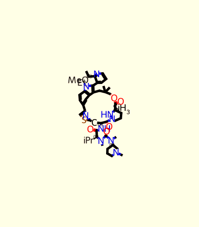 CCn1c(-c2cccnc2[C@H](C)OC)c2c3cc(ccc31)-c1csc(n1)C[C@H](NC(=O)[C@H](C(C)C)N(C)C(=O)N(C)[C@@H]1CCCN(C)C1)C(=O)N1CCC[C@@]([SiH3])(N1)C(=O)OCC(C)(C)C2